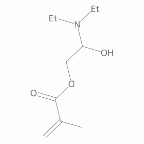 C=C(C)C(=O)OCC(O)N(CC)CC